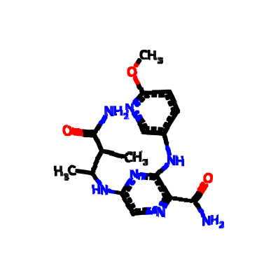 COc1ccc(Nc2nc(NC(C)C(C)C(N)=O)cnc2C(N)=O)cn1